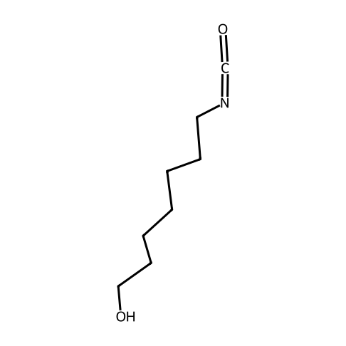 O=C=NCCCCCCCO